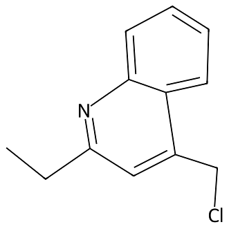 CCc1cc(CCl)c2ccccc2n1